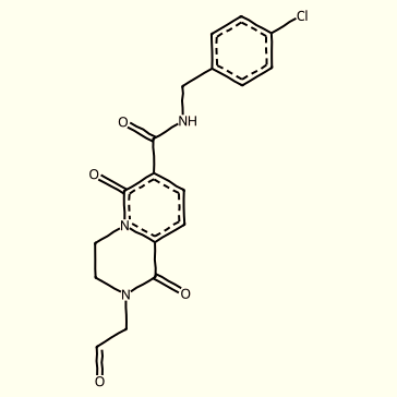 O=CCN1CCn2c(ccc(C(=O)NCc3ccc(Cl)cc3)c2=O)C1=O